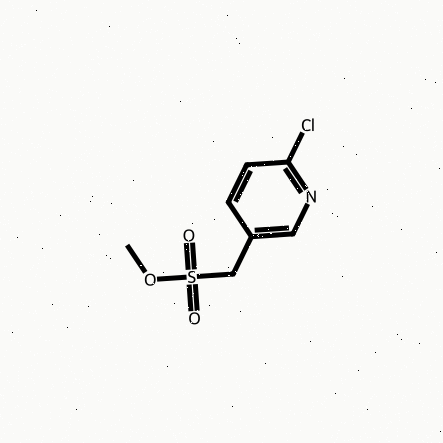 COS(=O)(=O)Cc1ccc(Cl)nc1